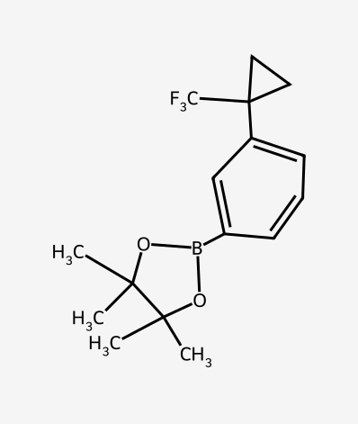 CC1(C)OB(c2cccc(C3(C(F)(F)F)CC3)c2)OC1(C)C